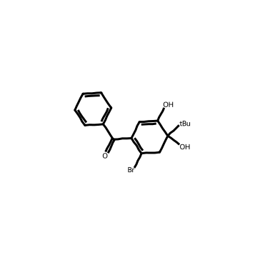 CC(C)(C)C1(O)CC(Br)=C(C(=O)c2ccccc2)C=C1O